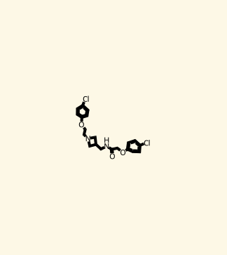 O=C(COc1ccc(Cl)cc1)NCC1CN(CCOc2ccc(Cl)cc2)C1